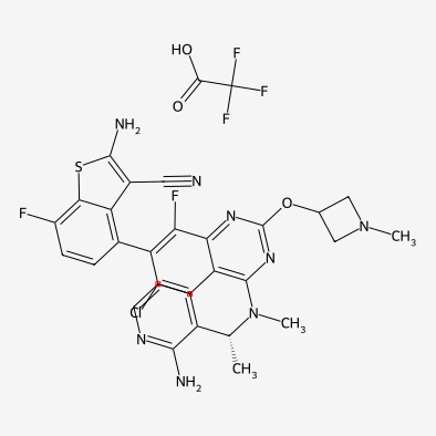 C[C@H](c1cccnc1N)N(C)c1nc(OC2CN(C)C2)nc2c(F)c(-c3ccc(F)c4sc(N)c(C#N)c34)c(Cl)cc12.O=C(O)C(F)(F)F